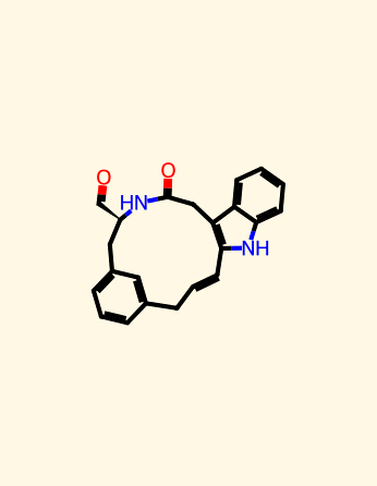 O=C[C@@H]1Cc2cccc(c2)C/C=C/c2[nH]c3ccccc3c2CC(=O)N1